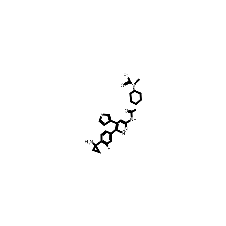 CCC(=O)N(C)[C@H]1CC[C@H](CC(=O)Nc2cc(-c3ccsc3)c(-c3ccc(C4(N)CC4)c(F)c3)nn2)CC1